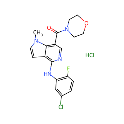 Cl.Cn1ccc2c(Nc3cc(Cl)ccc3F)ncc(C(=O)N3CCOCC3)c21